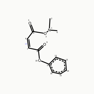 CN(C)OC(=O)/C=C\C(=O)Oc1ccccc1